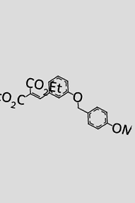 CCOC(=O)C(=Cc1cccc(OCc2ccc(OC)cc2)c1)C(=O)OCC